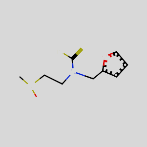 C[S+]([O-])CCN(Cc1ccco1)C(=S)S